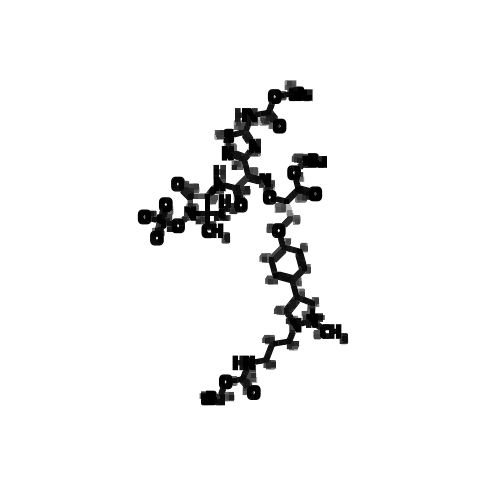 C[n+]1cc(-c2ccc(OC[C@H](O/N=C(\C(=O)N[C@@H]3C(=O)N(OS(=O)(=O)[O-])C3(C)C)c3nsc(NC(=O)OC(C)(C)C)n3)C(=O)OC(C)(C)C)cc2)cn1CCCNC(=O)OC(C)(C)C